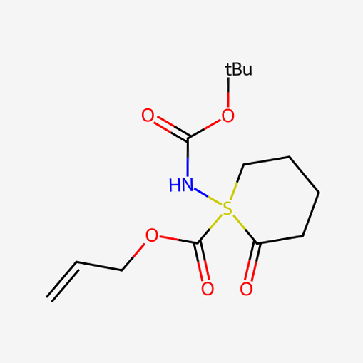 C=CCOC(=O)S1(NC(=O)OC(C)(C)C)CCCCC1=O